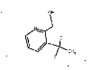 CC(F)(F)c1cccnc1CO